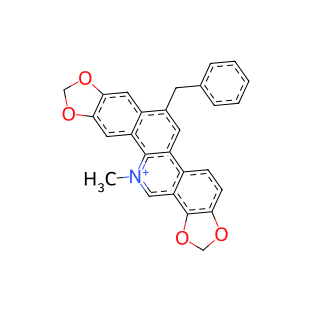 C[n+]1cc2c3c(ccc2c2cc(Cc4ccccc4)c4cc5c(cc4c21)OCO5)OCO3